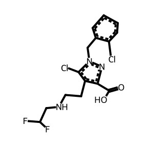 O=C(O)c1nn(Cc2ccccc2Cl)c(Cl)c1CCNCC(F)F